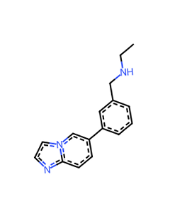 CCNCc1cccc(-c2ccc3nccn3c2)c1